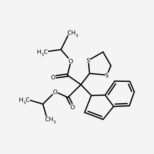 CC(C)OC(=O)C(C(=O)OC(C)C)(C1SCCS1)C1C=Cc2ccccc21